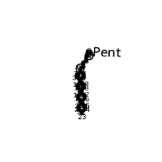 [CH2+][CH-]CCCOCCCCOc1ccc(-c2ccc(C3CCC(C4CCC(C)CC4)CC3)cc2)cc1